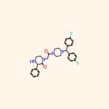 O=C(CN1CCNC(c2ccccc2)C1=O)N1CCN(C(c2ccc(F)cc2)c2ccc(F)cc2)CC1